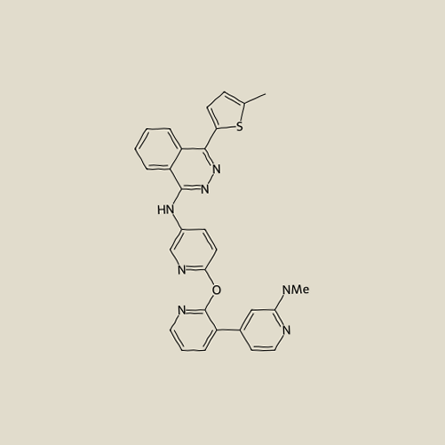 CNc1cc(-c2cccnc2Oc2ccc(Nc3nnc(-c4ccc(C)s4)c4ccccc34)cn2)ccn1